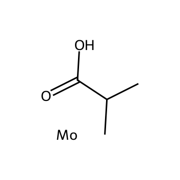 CC(C)C(=O)O.[Mo]